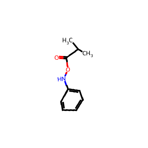 CC(C)C(=O)ONc1ccccc1